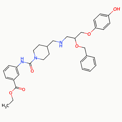 CCOC(=O)c1cccc(NC(=O)N2CCC(CNCC(COc3ccc(O)cc3)OCc3ccccc3)CC2)c1